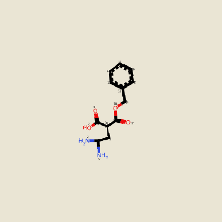 NC(N)C[C@@H](C(=O)O)C(=O)OCc1ccccc1